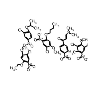 CC(C)Oc1ccc([N+](=O)[O-])cc1Cl.CCCCOc1cc(OC)c(Cl)cc1[N+](=O)[O-].CCOc1cc(OC)c(Cl)cc1[N+](=O)[O-].CN(C)C=CC(=O)c1ccc([N+](=O)[O-])cc1.COc1c(Cl)cc([N+](=O)[O-])c(C)c1Cl